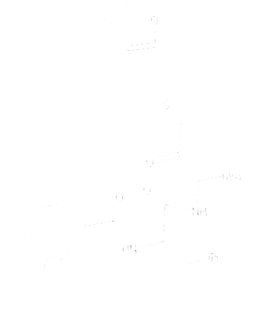 CCCCC(NC(=O)C(CC(C)C)NC(=O)c1cccc(C)c1)C(=O)CSCc1ccco1